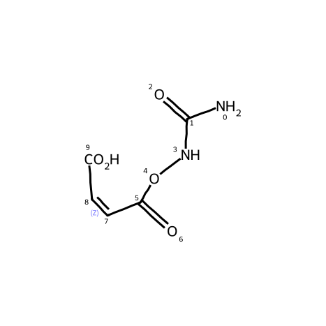 NC(=O)NOC(=O)/C=C\C(=O)O